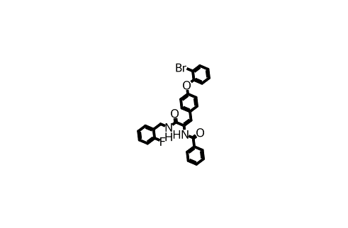 O=C(NCc1ccccc1F)/C(=C\c1ccc(Oc2ccccc2Br)cc1)NC(=O)c1ccccc1